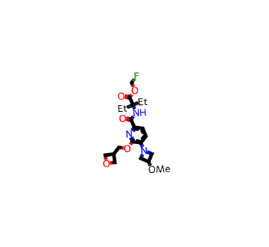 CCC(CC)(NC(=O)c1ccc(N2CC(OC)C2)c(OCC2COC2)n1)C(=O)OCF